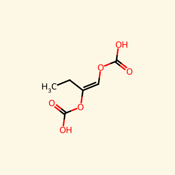 CC/C(=C\OC(=O)O)OC(=O)O